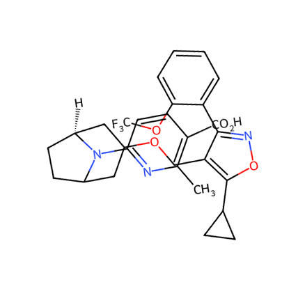 Cc1nc(N2C3CC[C@H]2CC(OCc2c(-c4ccccc4OC(F)(F)F)noc2C2CC2)C3)ccc1C(=O)O